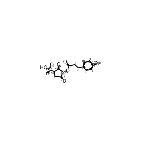 O=C(CCc1ccc([125I])cc1)ON1C(=O)CC(S(=O)(=O)O)C1=O